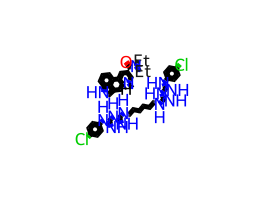 CCN(CC)C(=O)[C@@H]1C=C2c3cccc4[nH]cc(c34)C[C@H]2N(C)C1.N=C(NCCCCCCNC(=N)NC(=N)Nc1ccc(Cl)cc1)NC(=N)Nc1ccc(Cl)cc1